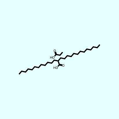 CCC(=O)O.CCCCCCCCCCCCCC(CCCCCCCCCCCC)C(=O)O